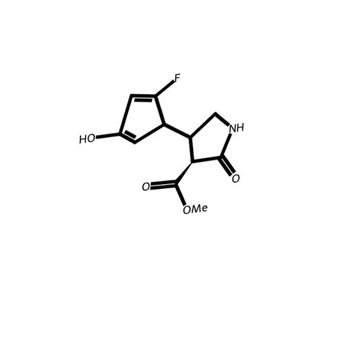 COC(=O)[C@@H]1C(=O)NCC1C1C=C(O)C=C1F